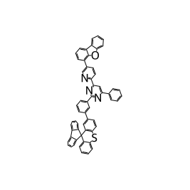 c1ccc(-c2cc(-c3ccc(-c4cccc5c4oc4ccccc45)cn3)nc(-c3cccc(-c4ccc5c(c4)C4(c6ccccc6S5)c5ccccc5-c5ccccc54)c3)n2)cc1